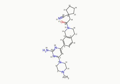 CN1CCN(c2cc(-c3ccc4c(c3)CN(C(=O)CC3(C#N)CCCC3)CC4)nc(N)n2)CC1